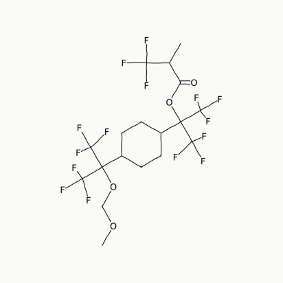 COCOC(C1CCC(C(OC(=O)C(C)C(F)(F)F)(C(F)(F)F)C(F)(F)F)CC1)(C(F)(F)F)C(F)(F)F